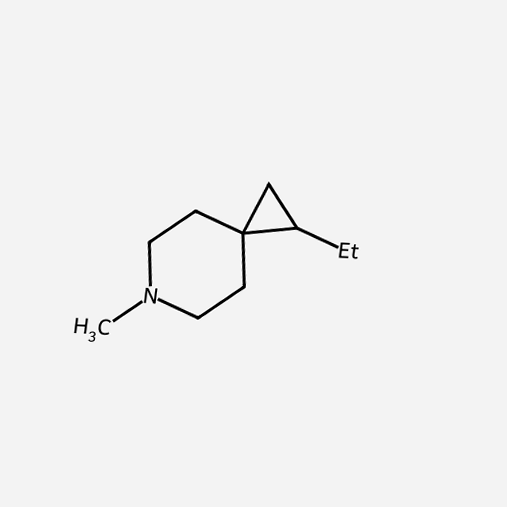 CCC1CC12CCN(C)CC2